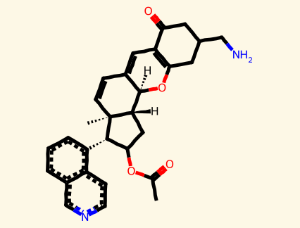 CC(=O)OC1C[C@H]2[C@@H]3OC4=C(C=C3C=C[C@]2(C)[C@H]1c1cccc2cnccc12)C(=O)CC(CN)C4